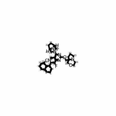 Fc1c(-c2cccc3cccc(Cl)c23)ncc2c(N3C[C@H]4CC[C@@H](C3)N4)nc(OCC34CCCN3CCOC4)nc12